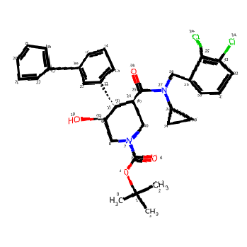 CC(C)(C)OC(=O)N1C[C@@H](O)[C@H](c2cccc(-c3ccccc3)c2)[C@@H](C(=O)N(Cc2cccc(Cl)c2Cl)C2CC2)C1